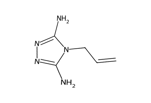 C=CCn1c(N)nnc1N